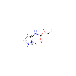 CCOC(=O)Nc1ccnn1C